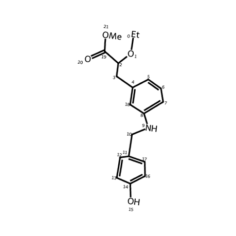 CCOC(Cc1cccc(NCc2ccc(O)cc2)c1)C(=O)OC